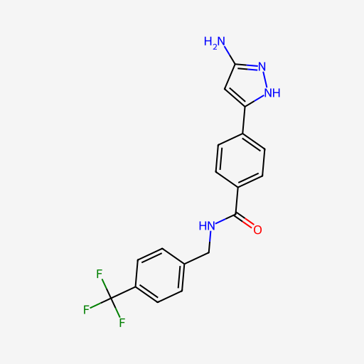 Nc1cc(-c2ccc(C(=O)NCc3ccc(C(F)(F)F)cc3)cc2)[nH]n1